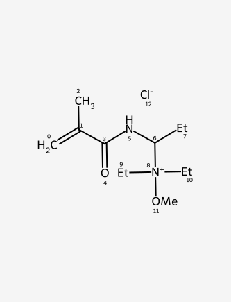 C=C(C)C(=O)NC(CC)[N+](CC)(CC)OC.[Cl-]